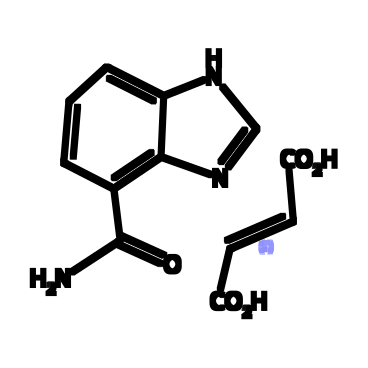 NC(=O)c1cccc2[nH]cnc12.O=C(O)/C=C/C(=O)O